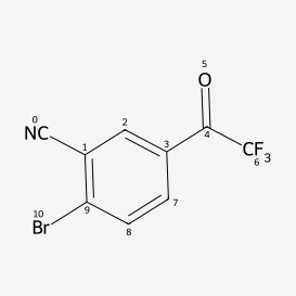 N#Cc1cc(C(=O)C(F)(F)F)ccc1Br